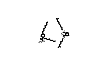 C=C(C(=O)O)C1(CCCCCCCC)CCC(CCCCCCCC)CC1.CC(C)CCCCCCCOC(=O)c1ccccc1C(=O)OCCCCCC(C)C